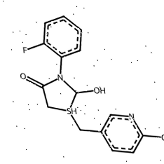 O=C1C[SH](Cc2ccc(Cl)nc2)C(O)N1c1ccccc1F